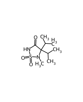 CC(C)C1(C(C)C)C(=O)NS(=O)(=O)N1C